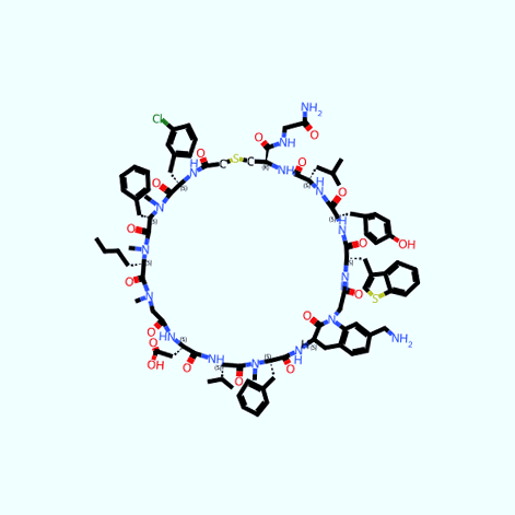 CCCC[C@H]1C(=O)N(C)CC(=O)N[C@@H](CC(=O)O)C(=O)N[C@@H](C(C)C)C(=O)N(C)[C@@H](Cc2ccccc2)C(=O)N[C@H]2Cc3ccc(CN)cc3N(CC(=O)N[C@@H](Cc3csc4ccccc34)C(=O)N[C@@H](Cc3ccc(O)cc3)C(=O)N[C@@H](CC(C)C)C(=O)N[C@H](C(=O)NCC(N)=O)CSCC(=O)N[C@@H](Cc3cccc(Cl)c3)C(=O)N(C)[C@@H](Cc3ccccc3)C(=O)N1C)C2=O